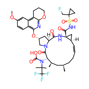 COc1ccc2c(O[C@@H]3C[C@H]4C(=O)N[C@]5(C(=O)NS(=O)(=O)C6(CF)CC6)C[C@H]5/C=C\CC[C@@H](C)C[C@@H](C)[C@H](N(C(=O)O)C(C)(C)C(F)(F)F)C(=O)N4C3)nc3c(c2c1)CCCO3